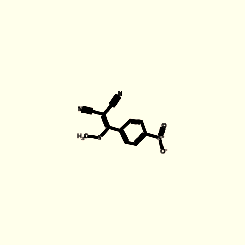 CSC(=C(C#N)C#N)c1ccc([N+](=O)[O-])cc1